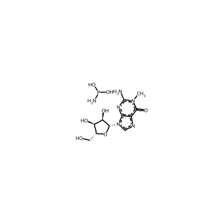 Cn1c(N)nc2c(ncn2[C@@H]2O[C@H](CO)[C@@H](O)[C@H]2O)c1=O.NP(O)O